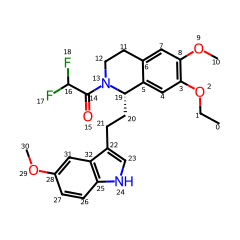 CCOc1cc2c(cc1OC)CCN(C(=O)C(F)F)[C@H]2CCc1c[nH]c2ccc(OC)cc12